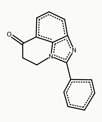 O=C1CCn2c(-c3ccccc3)nc3cccc1c32